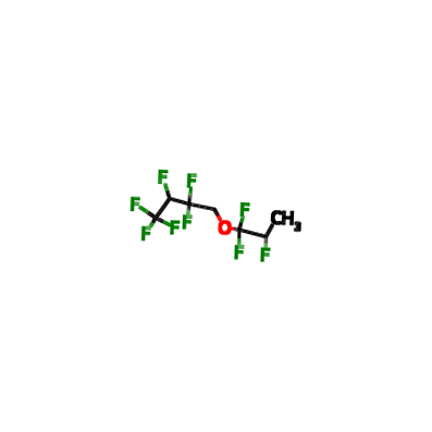 CC(F)C(F)(F)OCC(F)(F)C(F)C(F)(F)F